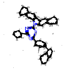 c1ccc(-c2nc(-c3ccc(-c4cccc5ccccc45)cc3)nc(-n3c4cc5ccccc5cc4c4cc5ccccc5cc43)n2)cc1